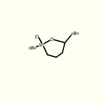 CCCCC1CC[CH2][Sn]([Cl])([CH2]CCC)[O]1